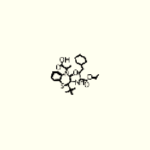 CCOC(=O)[C@H](CCC1CCCCC1)N[C@@H]1C(=O)N(C(C)C(=O)O)c2ccccc2SC1C(C)(C)C